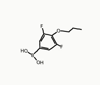 CCCOc1c(F)cc(B(O)O)cc1F